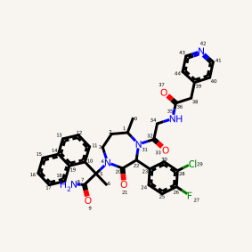 CC1CCN(C(C)(C(N)=O)c2cccc3ccccc23)C(=O)C(c2ccc(F)c(Cl)c2)N1C(=O)CNC(=O)Cc1ccncc1